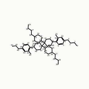 CCCCc1ccc(C2CCC(C3SCC(CCCC)CS3)(C3(C4SCC(CCCC)CS4)CCC(c4ccc(CCC)cc4C)CC3)CC2)c(C)c1